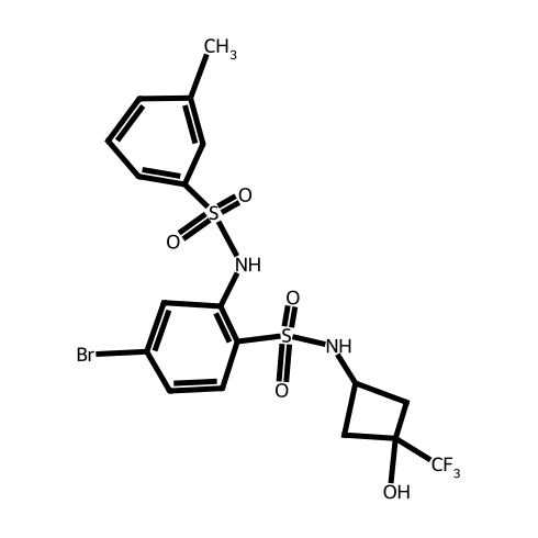 Cc1cccc(S(=O)(=O)Nc2cc(Br)ccc2S(=O)(=O)NC2CC(O)(C(F)(F)F)C2)c1